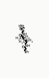 CC(C)CCC(=O)NCCC(C)(C)OCC(C)(C)C(=O)NCC[S+]([O-])CC(C)(C)C